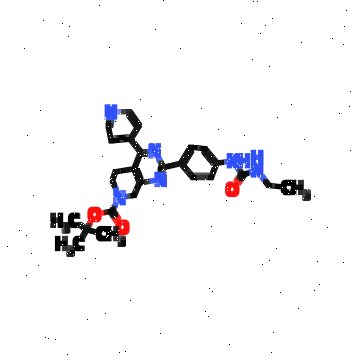 CCNC(=O)Nc1ccc(-c2nc3c(c(-c4ccncc4)n2)CCN(C(=O)OC(C)(C)C)C3)cc1